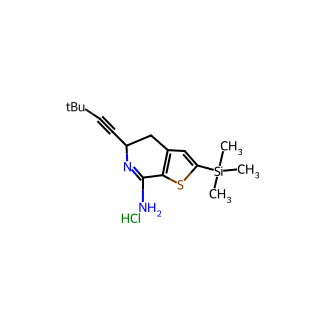 CC(C)(C)C#CC1Cc2cc([Si](C)(C)C)sc2C(N)=N1.Cl